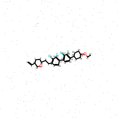 C=CC1CCC(CCc2ccc(-c3ccc(C4CCC(OCC)CC4)c(F)c3F)c(F)c2F)OC1